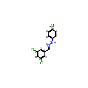 Clc1ccc(N/N=C/c2cc(Cl)cc(Cl)c2)cc1